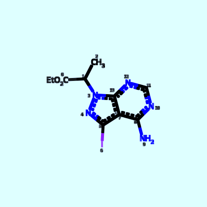 CCOC(=O)C(C)n1nc(I)c2c(N)ncnc21